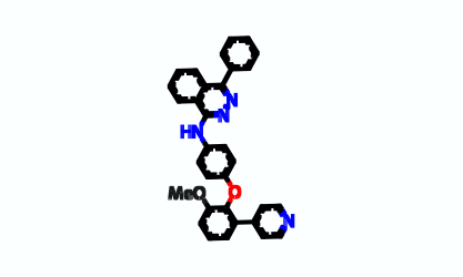 COc1cccc(-c2ccncc2)c1Oc1ccc(Nc2nnc(-c3ccccc3)c3ccccc23)cc1